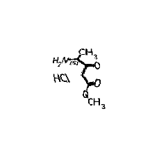 COC(=O)CC(=O)[C@H](C)N.Cl